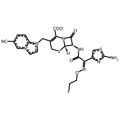 N#Cc1ccc2n(CC3=C(C(=O)[O-])N4C(=O)[C@@H](NC(=O)/C(=N\OCCF)c5csc(N)n5)[C@@H]4SC3)cc[n+]2c1